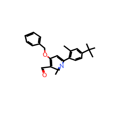 Cc1cc(C(C)(C)C)ccc1-c1cc(OCc2ccccc2)c(C=O)c(C)n1